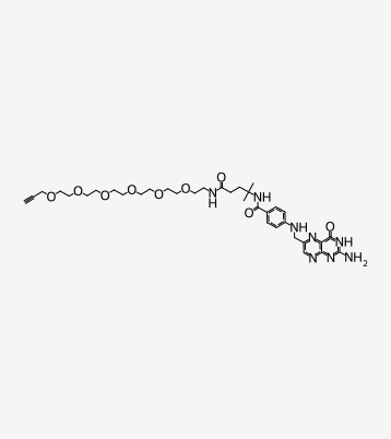 C#CCOCCOCCOCCOCCOCCOCCNC(=O)CCC(C)(C)NC(=O)c1ccc(NCc2cnc3nc(N)[nH]c(=O)c3n2)cc1